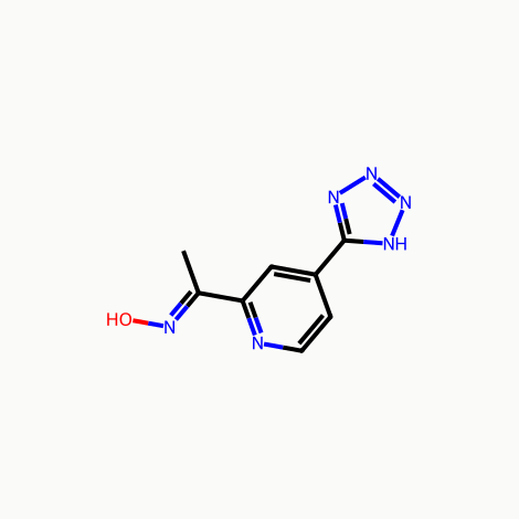 C/C(=N\O)c1cc(-c2nnn[nH]2)ccn1